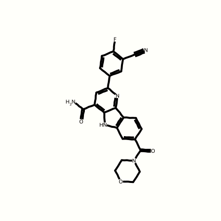 N#Cc1cc(-c2cc(C(N)=O)c3[nH]c4cc(C(=O)N5CCOCC5)ccc4c3n2)ccc1F